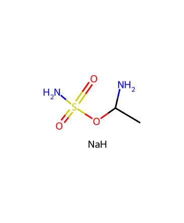 CC(N)OS(N)(=O)=O.[NaH]